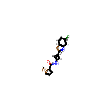 C[SH]1C=CC=C1C(=O)NC12CC(c3nc4cc(Cl)ccc4s3)(C1)C2